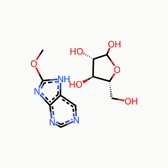 COc1nc2ncncc2[nH]1.OC[C@H]1OC(O)[C@@H](O)[C@@H]1O